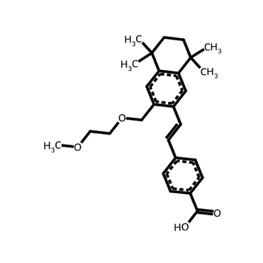 COCCOCc1cc2c(cc1/C=C/c1ccc(C(=O)O)cc1)C(C)(C)CCC2(C)C